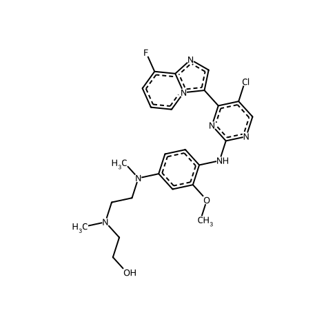 COc1cc(N(C)CCN(C)CCO)ccc1Nc1ncc(Cl)c(-c2cnc3c(F)cccn23)n1